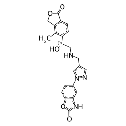 Cc1c([C@@H](O)CNCc2cnn(-c3ccc4oc(=O)[nH]c4c3)c2)ccc2c1COC2=O